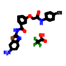 N#Cc1ccc(NC(=O)COc2cccc(C(=O)Nc3nc4c(s3)CC(N)CC4)c2)cc1.O=C(O)C(F)(F)F